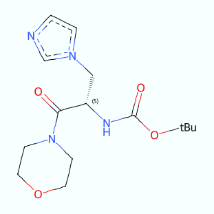 CC(C)(C)OC(=O)N[C@@H](Cn1ccnc1)C(=O)N1CCOCC1